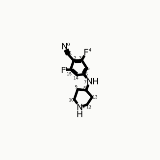 N#Cc1c(F)cc(NC2CCNCC2)cc1F